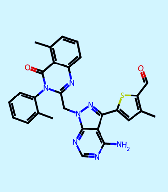 Cc1ccccc1-n1c(Cn2nc(-c3cc(C)c(C=O)s3)c3c(N)ncnc32)nc2cccc(C)c2c1=O